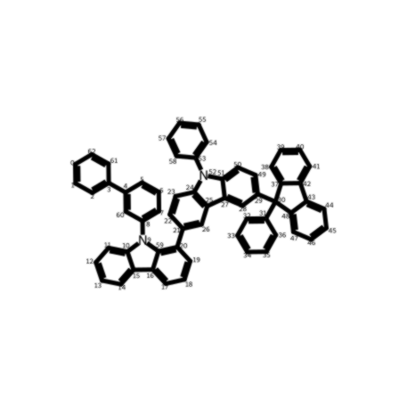 c1ccc(-c2cccc(-n3c4ccccc4c4cccc(-c5ccc6c(c5)c5cc(C7(c8ccccc8)c8ccccc8-c8ccccc87)ccc5n6-c5ccccc5)c43)c2)cc1